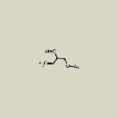 C=CC(COC(C)=O)OC